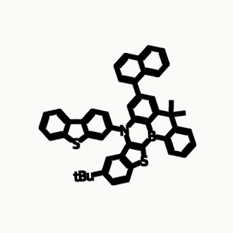 CC(C)(C)c1ccc2sc3c(c2c1)N(c1ccc2c(c1)sc1ccccc12)c1cc(-c2cccc4ccccc24)cc2c1B3c1ccccc1C2(C)C